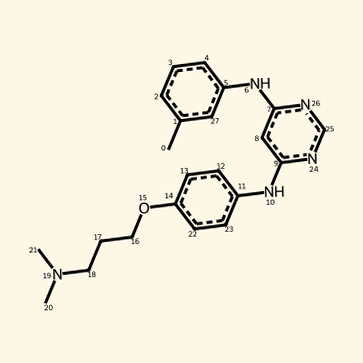 Cc1cccc(Nc2cc(Nc3ccc(OCCCN(C)C)cc3)ncn2)c1